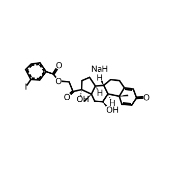 C[C@]12C=CC(=O)C=C1CC[C@@H]1[C@@H]2[C@@H](O)C[C@@]2(C)[C@H]1CC[C@]2(O)C(=O)COC(=O)c1cccc(I)c1.[NaH]